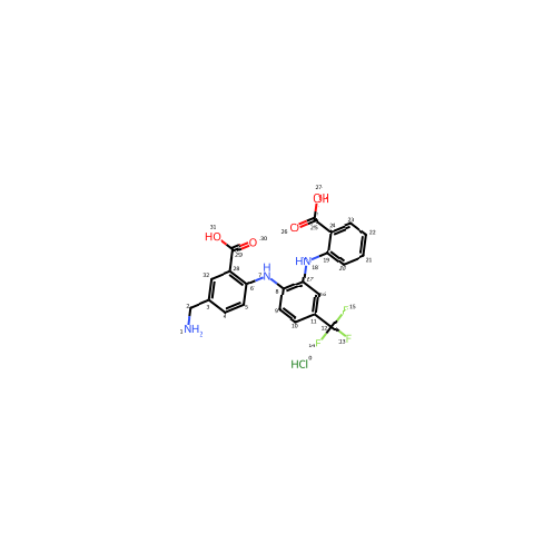 Cl.NCc1ccc(Nc2ccc(C(F)(F)F)cc2Nc2ccccc2C(=O)O)c(C(=O)O)c1